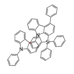 c1ccc(-c2ccc([Si](c3ccccc3)(c3ccccc3)c3ccccc3)c3c2c2ccccc2n3-c2cccc3c2c2ccccc2n3-c2ccccc2)cc1